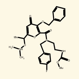 C[SiH](C)OC(c1cc(=O)c(OCc2ccccc2)c(C(=O)N(CCNC(=O)OC(C)(C)C)Cc2ccc(F)cc2)o1)C(C)(C)C